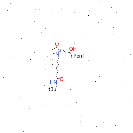 CCCCCC(O)CCN1C(=O)CCN1CCCCCCC(=O)NCC(C)(C)C